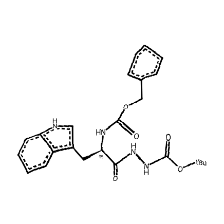 CC(C)(C)OC(=O)NNC(=O)[C@@H](Cc1c[nH]c2ccccc12)NC(=O)OCc1ccccc1